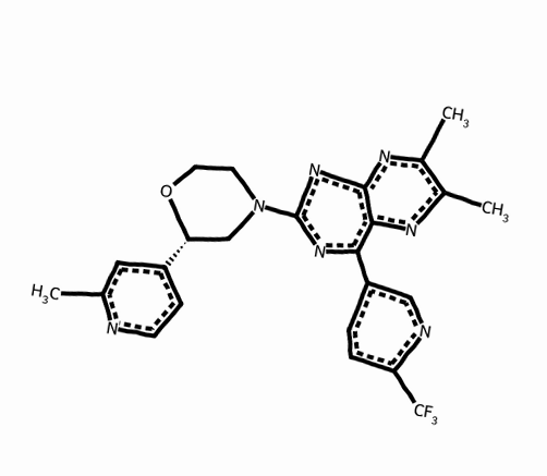 Cc1cc([C@H]2CN(c3nc(-c4ccc(C(F)(F)F)nc4)c4nc(C)c(C)nc4n3)CCO2)ccn1